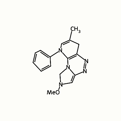 CON1C=C2N=NC3=C(N2C1)N(c1ccccc1)C=C(C)C3